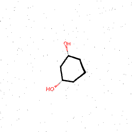 O[C@@H]1C[CH]C[C@H](O)C1